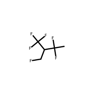 CC(F)(F)C(CF)C(F)(F)F